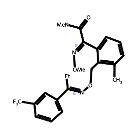 CC/C(=N\OCc1c(C)cccc1/C(=N\OC)C(=O)NC)c1cccc(C(F)(F)F)c1